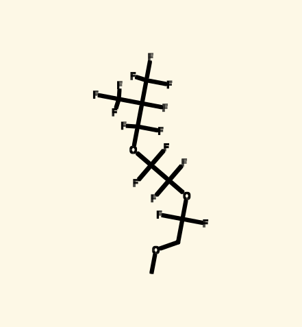 COCC(F)(F)OC(F)(F)C(F)(F)OC(F)(F)C(F)(C(F)(F)F)C(F)(F)F